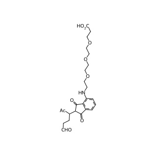 CC(=O)C(CCC=O)C1C(=O)c2cccc(NCCOCCOCCOCCC(=O)O)c2C1=O